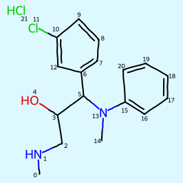 CNCC(O)C(c1cccc(Cl)c1)N(C)c1ccccc1.Cl